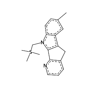 Cc1ccc2c(c1)c1c(n2CS(C)(C)C)-c2ncccc2C1